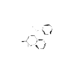 CC(=O)N(c1ccccc1)[C@H]1C[C@H](C)Nc2ccccc21